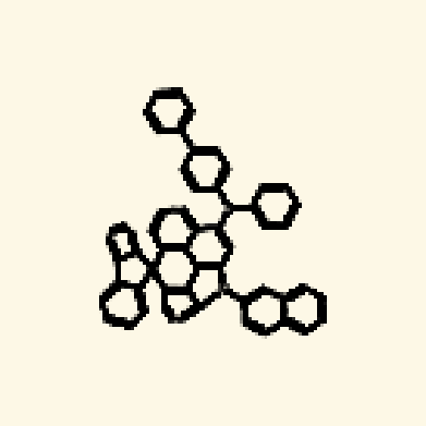 c1ccc(-c2ccc(N(c3ccccc3)c3cc4c5c6c(cccc36)C3(c6ccccc6-c6ccccc63)c3cccc(c35)n4-c3ccc4ccccc4c3)cc2)cc1